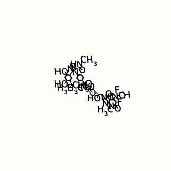 CCNC(=O)c1nnc(-c2cc(C(C)C)c(O)cc2O)n1-c1ccc(C(=O)N(C)CC(=O)OCC(O)Cn2cnc3c(c(Nc4ccc(I)cc4F)c(F)c(=O)n3C)c2=O)cc1